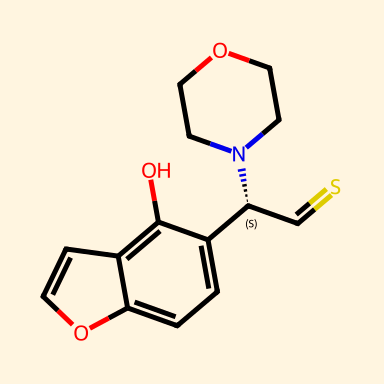 Oc1c([C@@H](C=S)N2CCOCC2)ccc2occc12